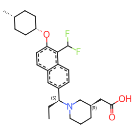 CC[C@@H](c1ccc2c(C(F)F)c(O[C@H]3CC[C@@H](C)CC3)ccc2c1)N1CCC[C@H](CC(=O)O)C1